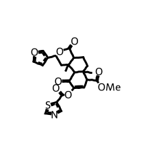 COC(=O)C1C=C(OC(=O)c2cncs2)C(=O)C2C1(C)CCC1C(=O)OC(c3ccoc3)CC12C